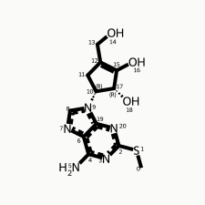 CSc1nc(N)c2ncn([C@@H]3CC(CO)=C(O)[C@@H]3O)c2n1